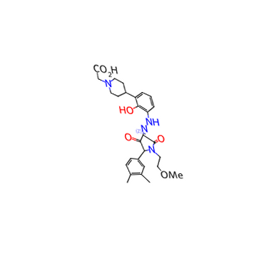 COCCN1C(=O)/C(=N\Nc2cccc(C3CCN(CC(=O)O)CC3)c2O)C(=O)C1c1ccc(C)c(C)c1